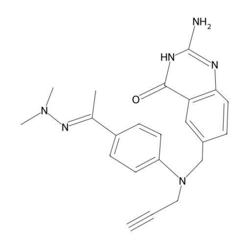 C#CCN(Cc1ccc2nc(N)[nH]c(=O)c2c1)c1ccc(/C(C)=N/N(C)C)cc1